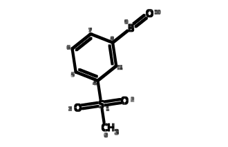 CS(=O)(=O)c1cccc(B=O)c1